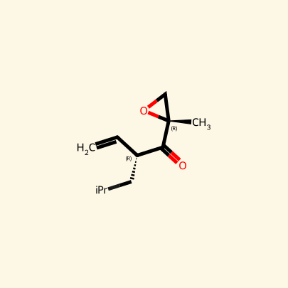 C=C[C@@H](CC(C)C)C(=O)[C@@]1(C)CO1